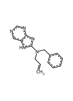 C=CCN(Cc1ccccc1)c1nc2ncncc2[nH]1